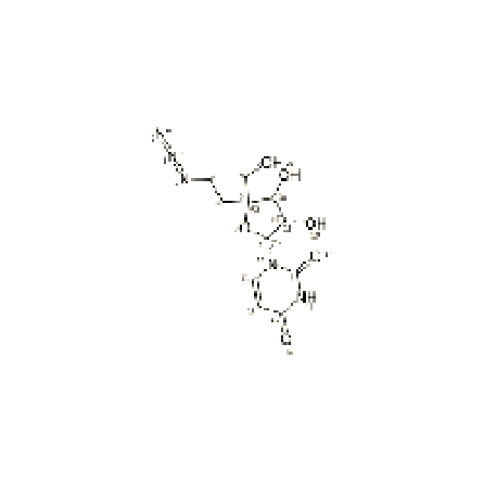 [N-]=[N+]=NCC[C@]1(CO)O[C@@H](n2ccc(=O)[nH]c2=O)[C@@H](O)C1O